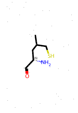 CC(CS)C[C@H](N)[C]=O